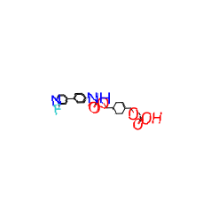 O=C(O)COCC1CCC(COC(=O)Nc2ccc(-c3ccnc(F)c3)cc2)CC1